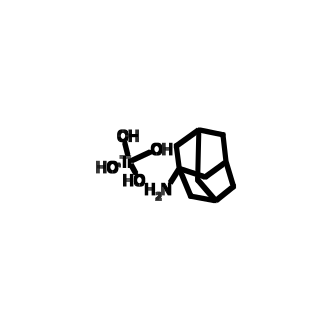 NC12CC3CC(CC(C3)C1)C2.[OH][Ti]([OH])([OH])[OH]